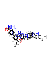 NC(=O)c1ccc(-c2ccc([C@@H](Oc3cc(N4CCC5(CC4)CN[C@H](C(=O)O)C5)nc(N)n3)C(F)(F)F)cc2)cc1